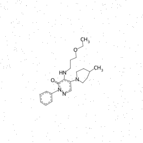 CCOCCCNc1c(N2CCC(C)CC2)cnn(-c2ccccc2)c1=O